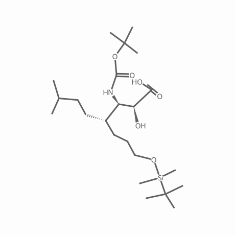 CC(C)CC[C@@H](CCCO[Si](C)(C)C(C)(C)C)[C@@H](NC(=O)OC(C)(C)C)[C@H](O)C(=O)O